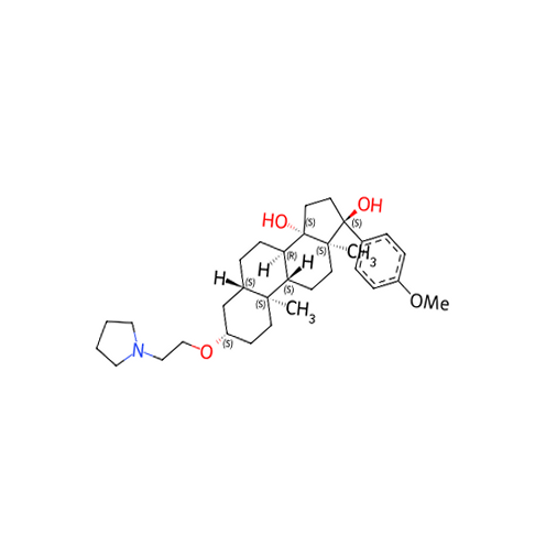 COc1ccc([C@@]2(O)CC[C@]3(O)[C@@H]4CC[C@H]5C[C@@H](OCCN6CCCC6)CC[C@]5(C)[C@H]4CC[C@]23C)cc1